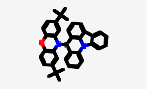 CC(C)(C)c1ccc2c(c1)N(B1c3ccccc3-n3c4ccccc4c4cccc1c43)c1cc(C(C)(C)C)ccc1O2